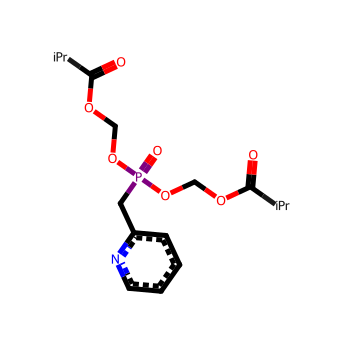 CC(C)C(=O)OCOP(=O)(Cc1ccccn1)OCOC(=O)C(C)C